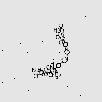 CC1(C)[C@H](NC(=O)c2ccc(C3CCN(CC4CCN(c5ccc6c7c(oc6c5)C(=O)N(C5CCC(=O)NC5=O)C7)CC4)CC3)cc2)C(C)(C)[C@H]1Oc1ccc(C#N)c(Cl)c1